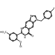 CCOc1ccc(C(=O)O)cc1-c1nc2cc3ncn(Cc4ccc(F)cc4)c3cc2c(=O)[nH]1